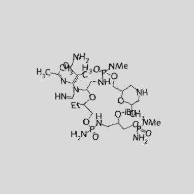 CCC(C)OC(CNP(N)(=O)OCC(CC)OC(CNP(=O)(NC)OCC1CNCC(C)O1)N(C=N)/C(N=C(C)C)=C(\C)C(N)=O)COP(N)(=O)NC